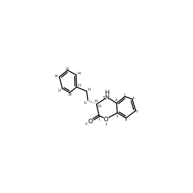 O=C1Oc2ccccc2N[C@H]1CCc1ccccc1